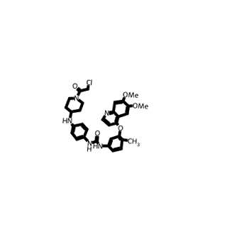 COc1cc2nccc(Oc3cc(NC(=O)Nc4ccc(NC5CCN(C(=O)CCl)CC5)cc4)ccc3C)c2cc1OC